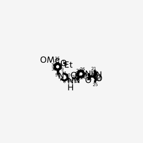 CCOc1cc(CN2CCC(Nc3nc4cc(NC(=O)c5c(C)noc5C)ccc4o3)CC2)ccc1OC